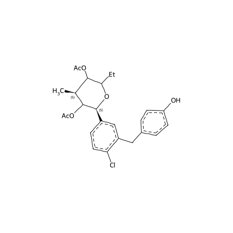 CCC1O[C@@H](c2ccc(Cl)c(Cc3ccc(O)cc3)c2)C(OC(C)=O)[C@@H](C)C1OC(C)=O